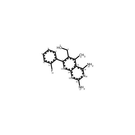 Cc1c(CO)c(-c2ccccc2F)nc2nc(N)nc(N)c12